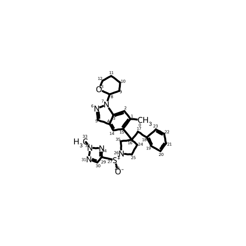 Cc1cc2c(cnn2C2CCCCO2)cc1C1(Cc2ccccc2)CCN([S+]([O-])c2cnn(C)n2)C1